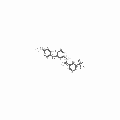 CC(C)(C#N)c1cccc(C(=O)Nc2cccc(Oc3ccc([N+](=O)[O-])nc3)c2)c1